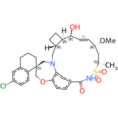 CO[C@H]1/C=C/[C@H](O)[C@@H]2CC[C@H]2CN2C[C@@]3(CCCc4cc(Cl)ccc43)COc3ccc(cc32)C(=O)NS(=O)(=O)[C@@H](C)C1